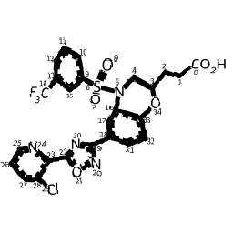 O=C(O)CCC1CN(S(=O)(=O)c2cccc(C(F)(F)F)c2)c2cc(-c3noc(-c4ncccc4Cl)n3)ccc2O1